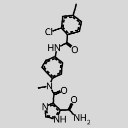 Cc1ccc(C(=O)Nc2ccc(N(C)C(=O)c3nc[nH]c3C(N)=O)cc2)c(Cl)c1